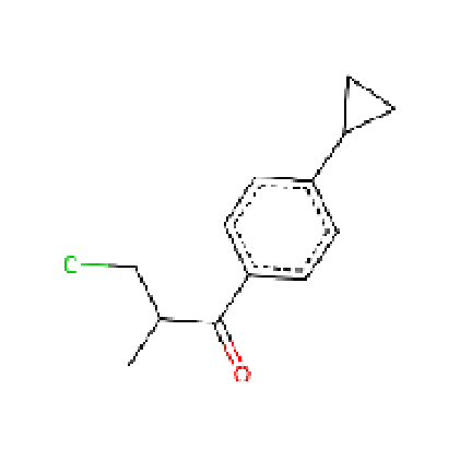 CC(CCl)C(=O)c1ccc(C2CC2)cc1